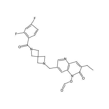 CCc1cc2ncc(CN3CC4(C3)CN(C(=O)c3ccc(F)cc3F)C4)cc2n(OC=O)c1=O